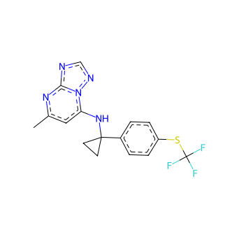 Cc1cc(NC2(c3ccc(SC(F)(F)F)cc3)CC2)n2ncnc2n1